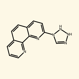 C1=NNNN1c1ccc2ccc3cccnc3c2n1